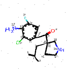 CC(C)C[C@]1(C(=O)c2cc(F)c(N)c(Cl)c2)CCNC1